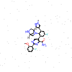 COc1cccc(F)c1-c1ncc(-c2cc(F)cc(-c3cnn(C)c3)c2N2C[C@H]3C[C@@H]2CN3)c(C(N)=O)n1